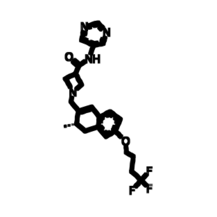 C[C@H]1Cc2cc(OCCCC(F)(F)F)ccc2C=C1CN1CC(C(=O)Nc2cncnc2)C1